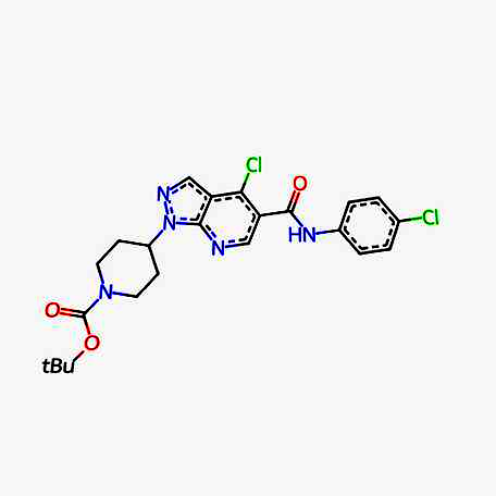 CC(C)(C)OC(=O)N1CCC(n2ncc3c(Cl)c(C(=O)Nc4ccc(Cl)cc4)cnc32)CC1